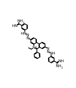 CC[n+]1c(-c2ccccc2)c2cc(N=NNc3cccc(C(=N)N)c3)ccc2c2ccc(N=NNc3cccc(C(=N)N)c3)cc21